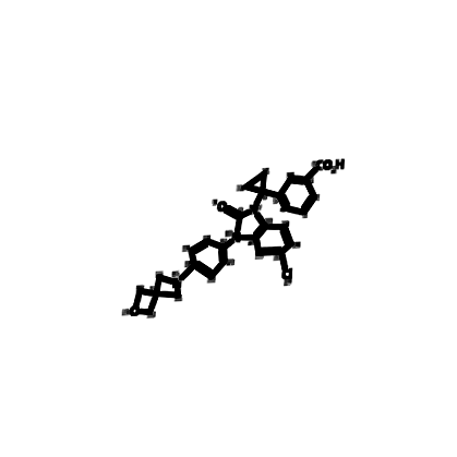 O=C(O)c1cccc(C2(n3c(=O)n(-c4ccc(N5CC6(COC6)C5)cc4)c4cc(Cl)ccc43)CC2)c1